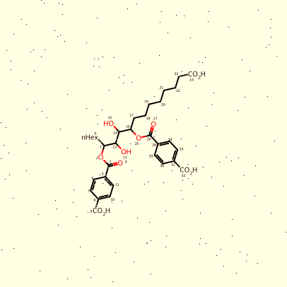 CCCCCCC(OC(=O)c1ccc(C(=O)O)cc1)C(O)C(O)C(CCCCCCCC(=O)O)OC(=O)c1ccc(C(=O)O)cc1